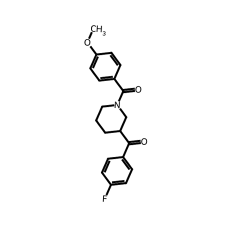 COc1ccc(C(=O)N2CCCC(C(=O)c3ccc(F)cc3)C2)cc1